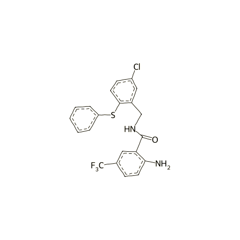 Nc1ccc(C(F)(F)F)cc1C(=O)NCc1cc(Cl)ccc1Sc1ccccc1